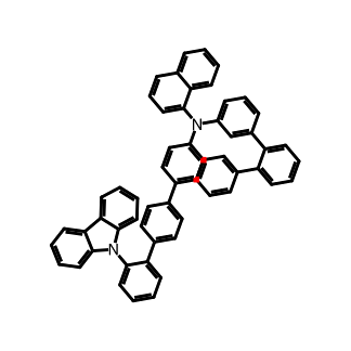 c1ccc(-c2ccccc2-c2cccc(N(c3ccc(-c4ccc(-c5ccccc5-n5c6ccccc6c6ccccc65)cc4)cc3)c3cccc4ccccc34)c2)cc1